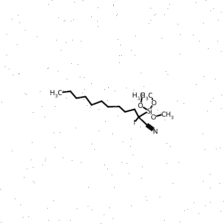 CCCCCCCCCCC(I)(C#N)[Si](OC)(OC)OC